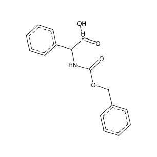 O=C(NC(c1ccccc1)[PH](=O)O)OCc1ccccc1